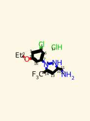 CCOc1cc(Cl)cc(N2NC(CN)C=C2C(F)(F)F)c1.Cl